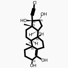 C[C@]12CC[C@H](O)C(O)=C1CC[C@@H]1[C@@H]2CC[C@@]2(C)[C@H]1C[C@@H](O)[C@@]2(O)C#CCl